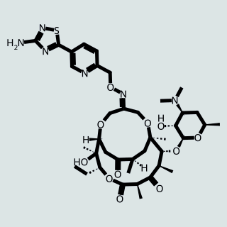 CC[C@H]1OC(=O)[C@H](C)C(=O)[C@H](C)[C@@H](O[C@@H]2O[C@H](C)C[C@H](N(C)C)[C@H]2O)[C@@]2(C)C[C@@H](C)C(=O)C[C@@H](OC/C(=N\OCc3ccc(-c4nc(N)ns4)cn3)CO2)[C@]1(C)O